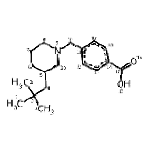 CC(C)(C)CC1CCCN(Cc2ccc(C(=O)O)cc2)C1